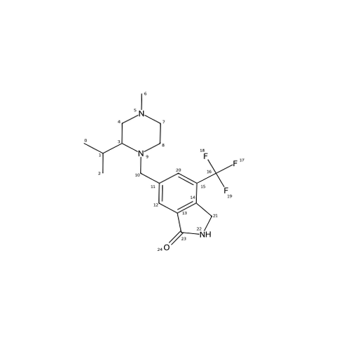 CC(C)C1CN(C)CCN1Cc1cc2c(c(C(F)(F)F)c1)CNC2=O